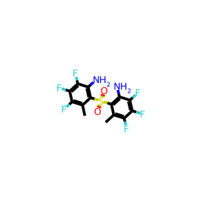 Cc1c(F)c(F)c(F)c(N)c1S(=O)(=O)c1c(C)c(F)c(F)c(F)c1N